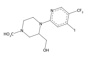 O=C(O)N1CCN(c2cc(I)c(C(F)(F)F)cn2)C(CO)C1